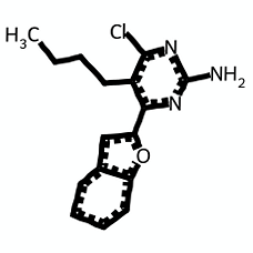 CCCCc1c(Cl)nc(N)nc1-c1cc2ccccc2o1